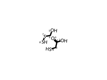 O=C(O)CS.OCSS